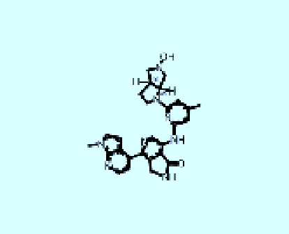 Cc1cc(Nc2cnc(-c3ccnc4c3ccn4C)c3c2C(=O)NC3)nc(N2CC[C@@H]3CN(O)C[C@@H]32)c1